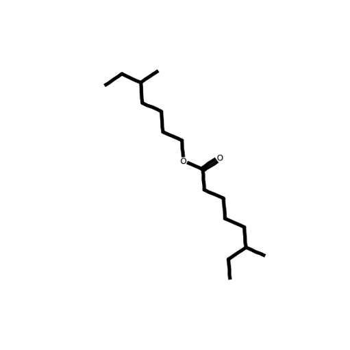 CCC(C)CCCCOC(=O)CCCCC(C)CC